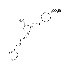 CCOC(=O)[C@H]1CC[C@H](OC[C@@H]2C[C@@H](OCOCc3ccccc3)CN2C)CC1